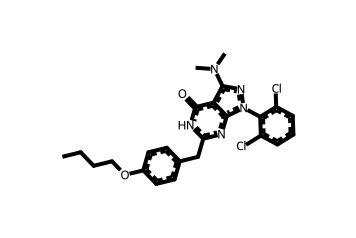 CCCCOc1ccc(Cc2nc3c(c(N(C)C)nn3-c3c(Cl)cccc3Cl)c(=O)[nH]2)cc1